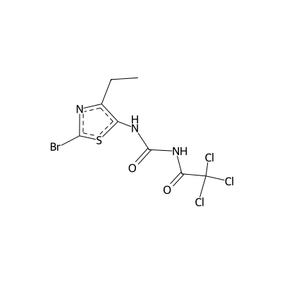 CCc1nc(Br)sc1NC(=O)NC(=O)C(Cl)(Cl)Cl